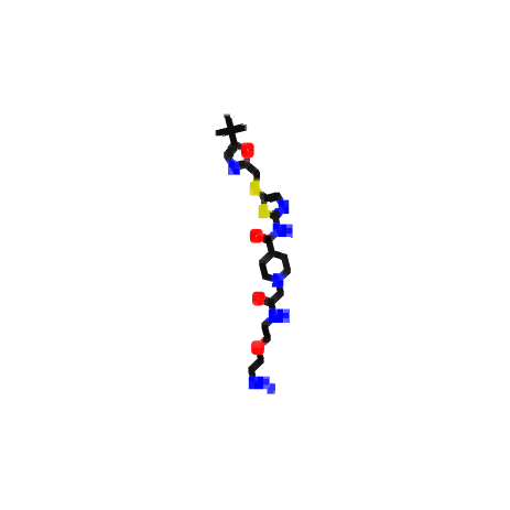 CC(C)(C)c1cnc(CSc2cnc(NC(=O)C3CCN(CC(=O)NCCOCCN)CC3)s2)o1